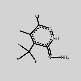 Cc1c(Cl)n[nH]c(=NN)c1C(F)(F)F